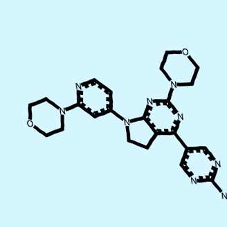 Nc1ncc(-c2nc(N3CCOCC3)nc3c2CCN3c2ccnc(N3CCOCC3)c2)cn1